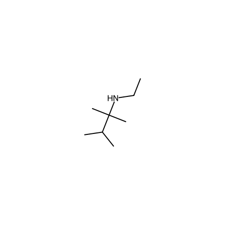 CCNC(C)(C)C(C)C